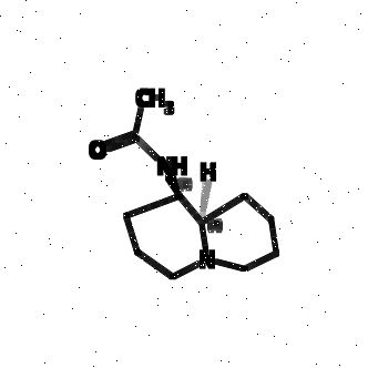 CC(=O)N[C@@H]1CCCN2CCCC[C@H]12